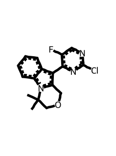 CC1(C)COCc2c(-c3nc(Cl)ncc3F)c3ccccc3n21